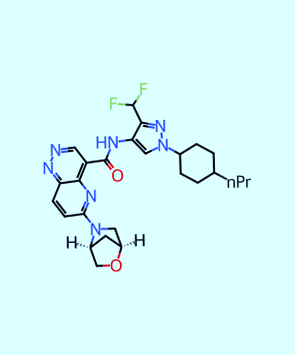 CCCC1CCC(n2cc(NC(=O)c3cnnc4ccc(N5C[C@@H]6C[C@H]5CO6)nc34)c(C(F)F)n2)CC1